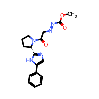 COC(=O)N=NCC(=O)N1CCC[C@H]1c1ncc(-c2ccccc2)[nH]1